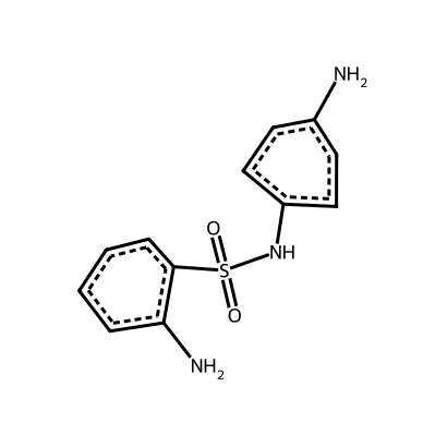 Nc1ccc(NS(=O)(=O)c2ccccc2N)cc1